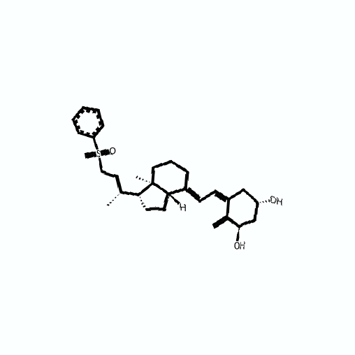 C=C1/C(=C\C=C2/CCC[C@]3(C)[C@@H]([C@H](C)CCS(=C)(=O)c4ccccc4)CC[C@@H]23)C[C@H](O)C[C@H]1O